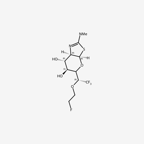 CNC1=N[C@@H]2[C@@H](O)[C@H](O)C([C@@H](OCCF)C(F)(F)F)O[C@@H]2S1